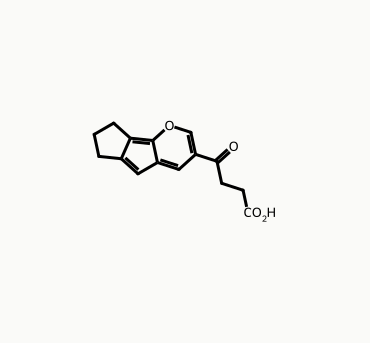 O=C(O)CCC(=O)c1coc2c3c(cc-2c1)CCC3